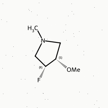 CO[C@H]1CN(C)C[C@H]1F